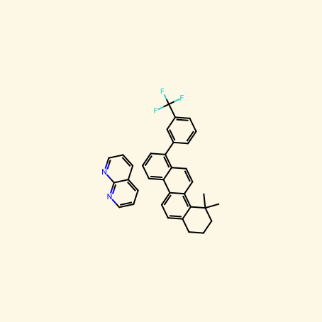 CC1(C)CCCc2ccc3c(ccc4c(-c5cccc(C(F)(F)F)c5)cccc43)c21.c1cnc2ncccc2c1